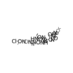 C=CC(=O)Nc1cc(Nc2nc(-c3ccnc(N4CCn5c(cc6c5CC(C)(C)C6)C4=O)c3CO)cn(C)c2=O)ccc1N1CCN(C2CCN(c3ccc(Cl)c(C)c3)CC2)C[C@@H]1C